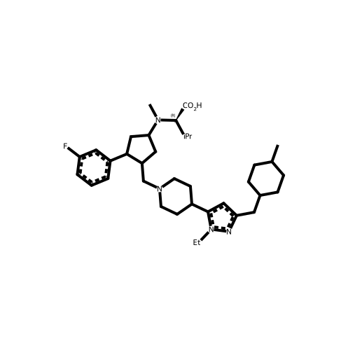 CCn1nc(CC2CCC(C)CC2)cc1C1CCN(CC2CC(N(C)[C@@H](C(=O)O)C(C)C)CC2c2cccc(F)c2)CC1